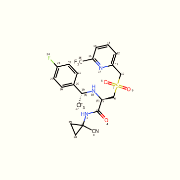 N#CC1(NC(=O)[C@H](CS(=O)(=O)Cc2cccc(C(F)(F)F)n2)N[C@@H](c2ccc(F)cc2)C(F)(F)F)CC1